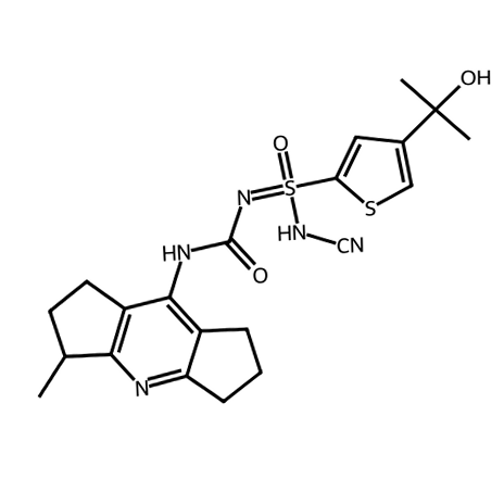 CC1CCc2c1nc1c(c2NC(=O)N=S(=O)(NC#N)c2cc(C(C)(C)O)cs2)CCC1